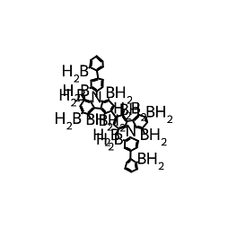 Bc1ccccc1-c1ccc(-n2c3c(B)cc(B)c(B)c3c3c(B)c(-c4cc(B)c5c(c4B)c4c(B)c(B)cc(B)c4n5-c4ccc(-c5ccccc5B)cc4B)cc(B)c32)c(B)c1